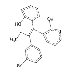 CCC(=C(c1ccccc1O)c1ccccc1O)c1cccc(Br)c1